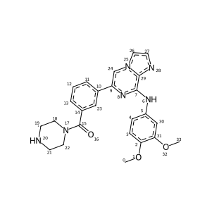 COc1ccc(Nc2nc(-c3cccc(C(=O)N4C[CH]NCC4)c3)cn3ccnc23)cc1OC